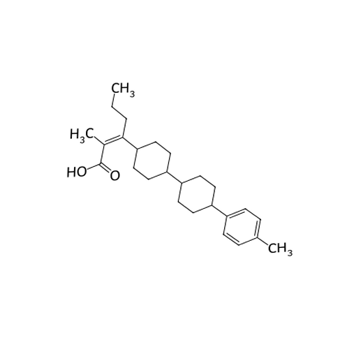 CCCC(=C(C)C(=O)O)C1CCC(C2CCC(c3ccc(C)cc3)CC2)CC1